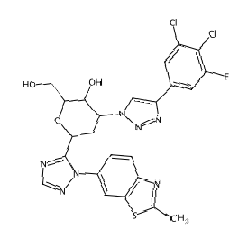 Cc1nc2ccc(-n3ncnc3C3CC(n4cc(-c5cc(F)c(Cl)c(Cl)c5)nn4)C(O)C(CO)O3)cc2s1